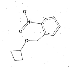 O=[N+]([O-])c1ccccc1COC1CCC1